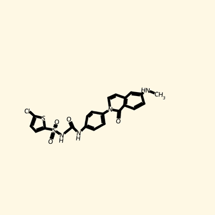 CNc1ccc2c(=O)n(-c3ccc(NC(=O)NS(=O)(=O)c4ccc(Cl)s4)cc3)ccc2c1